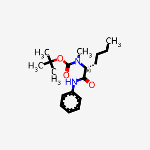 CCCC[C@H](C(=O)Nc1ccccc1)N(C)C(=O)OC(C)(C)C